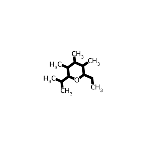 CCC1OC(C(C)C)C(C)C(C)C1C